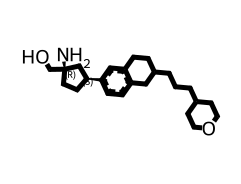 N[C@]1(CO)CC[C@H](c2ccc3c(c2)CCC(CCCC2CCOCC2)C3)C1